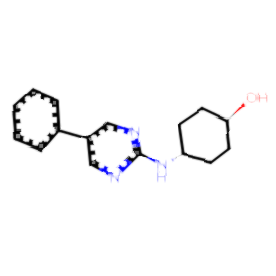 O[C@H]1CC[C@H](Nc2ncc(-c3ccccc3)cn2)CC1